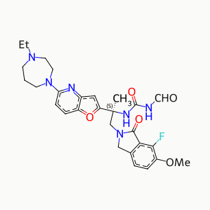 CCN1CCCN(c2ccc3oc([C@](C)(CN4Cc5ccc(OC)c(F)c5C4=O)NC(=O)NC=O)cc3n2)CC1